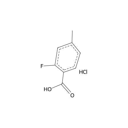 Cc1ccc(C(=O)O)c(F)c1.Cl